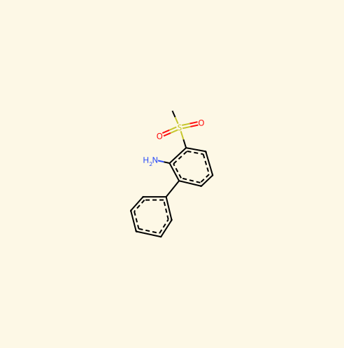 CS(=O)(=O)c1cccc(-c2ccccc2)c1N